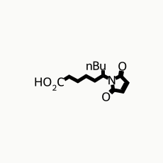 CCCCC(CCCCC(=O)O)N1C(=O)C=CC1=O